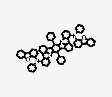 c1ccc(-c2c3c4cccc5c6c(N(c7ccccc7)c7cccc8c7oc7ccccc78)cccc6n(c3c(-c3ccccc3)c3c6cccc7c8c(N(c9ccccc9)c9cccc%10c9oc9ccccc9%10)cccc8n(c23)c76)c54)cc1